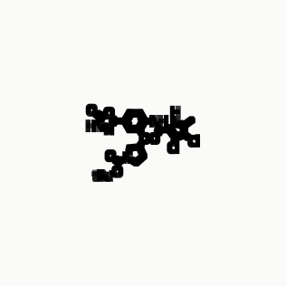 Cc1[nH]c(C(=O)Nc2ccc(-c3n[nH]c(=O)o3)cc2OC2CCN(C(=O)OC(C)(C)C)C2)c(Cl)c1Cl